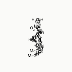 COc1cc(CN2CCN(C3CC4(C3)CN(c3ccc(C(=O)NS(=O)(=O)c5ccc(NC[C@H]6CC[C@](C)(O)CC6)c([N+](=O)[O-])c5)c(Oc5cnc6[nH]cc(F)c6c5)c3)C4)[C@H](c3ccccc3C(C)C)C2)ccc1N1CC(OC)C1